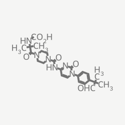 CC(C)(NC(=O)O)C(=O)N1CCN(C(=O)Nc2ccn(-c3ccc(C(C)(C)C=O)cc3)c(=O)n2)CC1